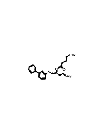 CCCCCC/C=C/CC(=O)N[C@@H](CCC(=O)O)CSc1cccc(-c2ccccc2)c1